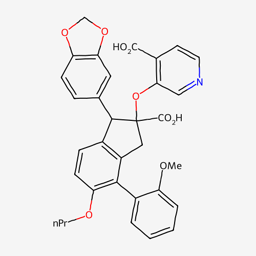 CCCOc1ccc2c(c1-c1ccccc1OC)CC(Oc1cnccc1C(=O)O)(C(=O)O)C2c1ccc2c(c1)OCO2